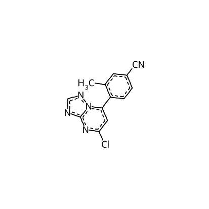 Cc1cc(C#N)ccc1-c1cc(Cl)nc2ncnn12